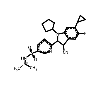 C[C@@H](NS(=O)(=O)c1ccc(C2C(C#N)c3cc(F)c(C4CC4)cc3N2C2CCCC2)nc1)C(F)(F)F